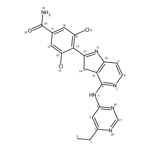 CCc1cc(Nc2nccc3nc(-c4c(Cl)cc(C(N)=O)cc4Cl)sc23)ncn1